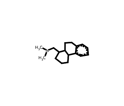 CN(C)CC1CCCC2c3ccccc3CCC12